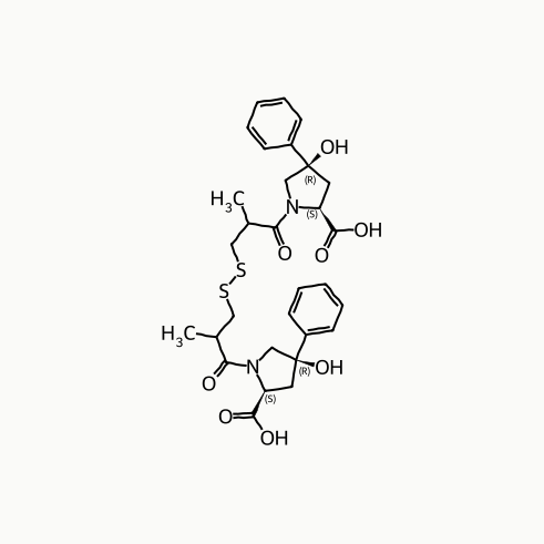 CC(CSSCC(C)C(=O)N1C[C@](O)(c2ccccc2)C[C@H]1C(=O)O)C(=O)N1C[C@](O)(c2ccccc2)C[C@H]1C(=O)O